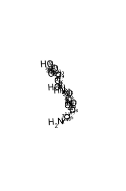 NCc1ccc(-c2cccc(S(=O)(=O)N3CCC4(CC3)C[C@@H](NC[C@H](O)COc3cccc(S(=O)(=O)C5(CO)CC5)c3)CO4)c2)cc1